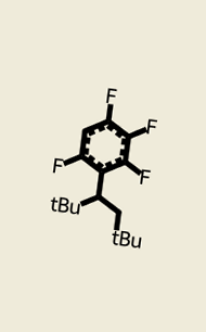 CC(C)(C)CC(c1c(F)cc(F)c(F)c1F)C(C)(C)C